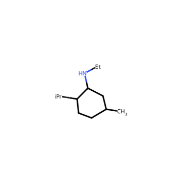 CCN[C]1CC(C)CCC1C(C)C